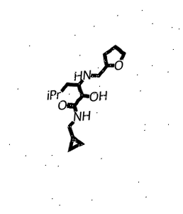 CC(C)CC(NCC1CCCO1)C(O)C(=O)NCC1CC1